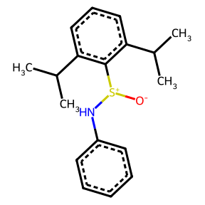 CC(C)c1cccc(C(C)C)c1[S+]([O-])Nc1ccccc1